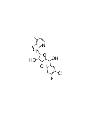 Cc1ccnc2c1ccn2C1OC(C(O)c2ccc(F)c(Cl)c2)C(O)C1O